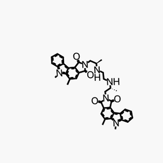 Cc1cc2c(c3c4ccccc4n(C)c13)C(=O)N(C[C@@H](C)NCCN[C@H](C)CN1C(=O)c3cc(C)c4c(c3C1=O)c1ccccc1n4C)C2=O